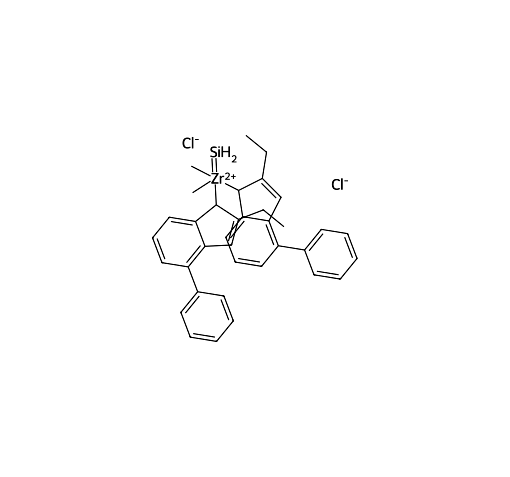 CCC1=Cc2c(-c3ccccc3)cccc2[CH]1[Zr+2]([CH3])([CH3])(=[SiH2])[CH]1C(CC)=Cc2c(-c3ccccc3)cccc21.[Cl-].[Cl-]